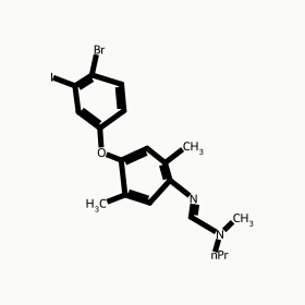 CCCN(C)C=Nc1cc(C)c(Oc2ccc(Br)c(I)c2)cc1C